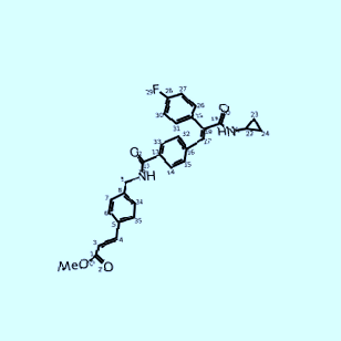 COC(=O)/C=C/c1ccc(CNC(=O)c2ccc(/C=C(/C(=O)NC3CC3)c3ccc(F)cc3)cc2)cc1